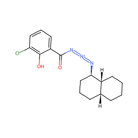 O=C(N=[N+]=N[C@@H]1CCC[C@H]2CCCC[C@H]21)c1cccc(Cl)c1O